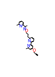 C#CCOc1cc(C)nc(-c2cccc(CCCO/N=C(\C)c3cccc(C)n3)n2)c1